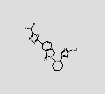 Cn1cc(C2CCCCN2N2Cc3ccc(-c4nnc(C(F)F)o4)cc3C2=O)cn1